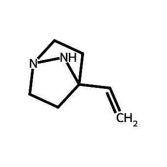 C=CC12CCN(CC1)N2